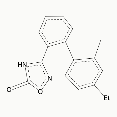 CCc1ccc(-c2ccccc2-c2noc(=O)[nH]2)c(C)c1